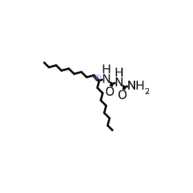 CCCCCCCC/C=C(\CCCCCCCC)NC(=O)NC(N)=O